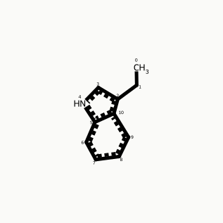 CCc1c[nH]c2ccccc12